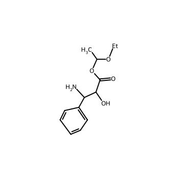 CCOC(C)OC(=O)C(O)C(N)c1ccccc1